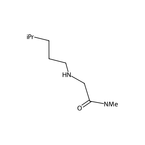 CNC(=O)CNCCCC(C)C